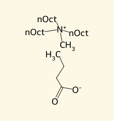 CCCC(=O)[O-].CCCCCCCC[N+](C)(CCCCCCCC)CCCCCCCC